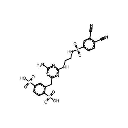 N#Cc1ccc(S(=O)(=O)NCCNc2nc(N)nc(Cc3cc(S(=O)(=O)O)ccc3S(=O)(=O)O)n2)cc1C#N